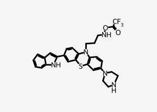 O=C(ONCCCN1c2ccc(-c3cc4ccccc4[nH]3)cc2Sc2cc(N3CCNCC3)ccc21)C(F)(F)F